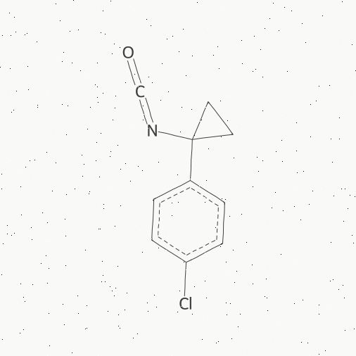 O=C=NC1(c2ccc(Cl)cc2)CC1